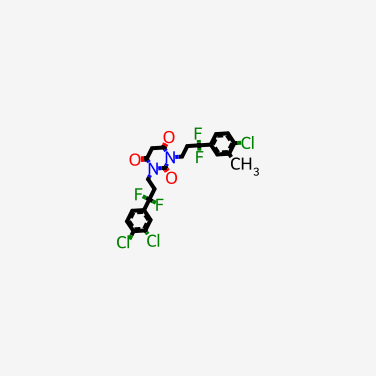 Cc1cc(C(F)(F)CCN2C(=O)CC(=O)N(CCC(F)(F)c3ccc(Cl)c(Cl)c3)C2=O)ccc1Cl